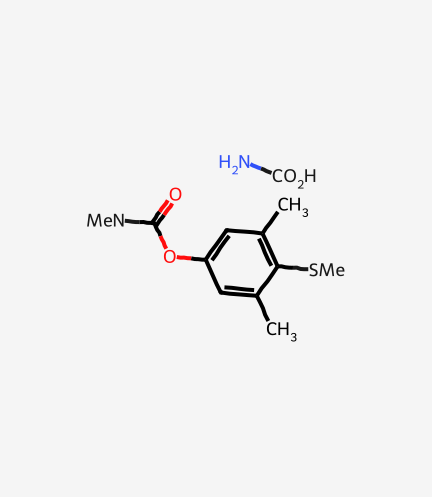 CNC(=O)Oc1cc(C)c(SC)c(C)c1.NC(=O)O